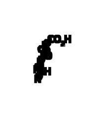 O=C(O)C1CCN(C2CCCC3C2OC(=O)N3C2CCN(c3ccnc(Nc4ccncc4)n3)CC2)CC1